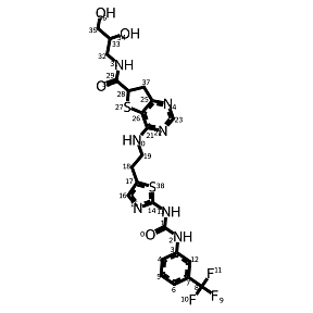 O=C(Nc1cccc(C(F)(F)F)c1)Nc1ncc(CCNc2ncnc3c2SC(C(=O)NCC(O)CO)C3)s1